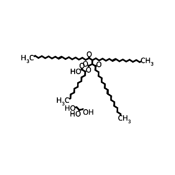 CCCCCCCCC=CCCCCCCCC(=O)C(CCCCCC=CCCCCCCCC)C(C(=O)CCCCCCCC=CCCCCCCCC)C(=O)OC(CCCCCCCCCC)C(=O)O.OCC(O)CO